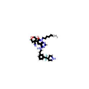 C=CCCCCn1c(=O)c(C2(C#N)CCOCC2)cc2c(NCCc3cccc(C(F)(F)C4CCNCC4)c3)ncnc21